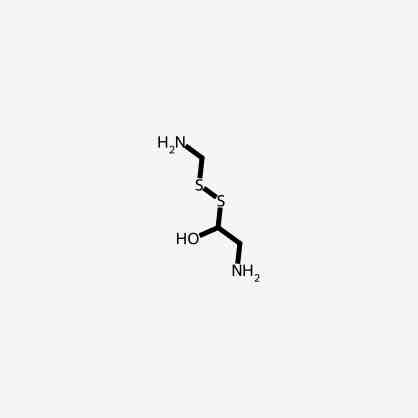 NCSSC(O)CN